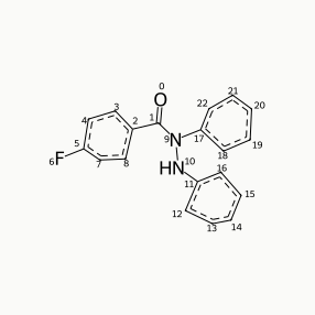 O=C(c1ccc(F)cc1)N(Nc1ccccc1)c1ccccc1